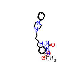 CS(=O)(=O)c1ccc(CCCCCN2CCN(c3ccccc3)CC2)cc1NC(N)=O